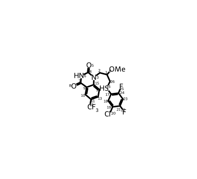 COC1Cn2c(=O)[nH]c(=O)c3cc(C(F)(F)F)cc(c32)[SH](c2cc(Cl)c(F)cc2F)C1